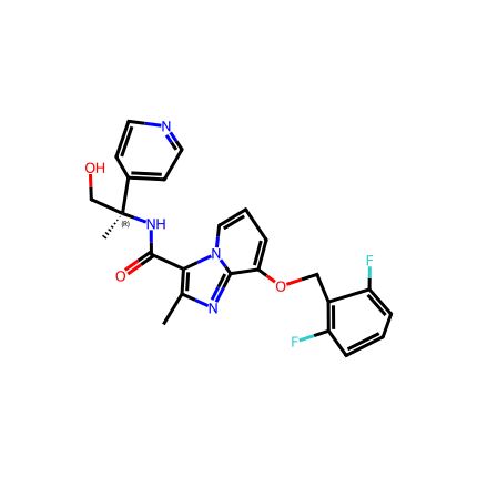 Cc1nc2c(OCc3c(F)cccc3F)cccn2c1C(=O)N[C@@](C)(CO)c1ccncc1